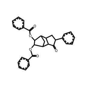 O=C(OC1C2CC(C1OC(=O)c1ccccc1)C1C(=O)C(c3ccccc3)CC21)c1ccccc1